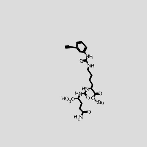 C#Cc1cccc(NC(=O)NCCCCC(NC(=O)N[C@@H](CCC(N)=O)C(=O)O)C(=O)OC(C)(C)C)c1